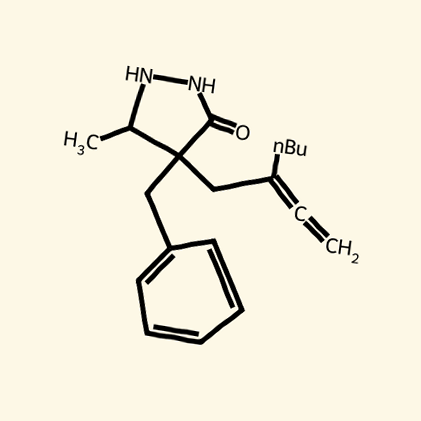 C=C=C(CCCC)CC1(Cc2ccccc2)C(=O)NNC1C